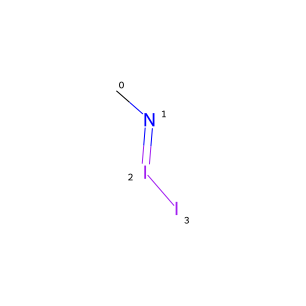 C/N=I/I